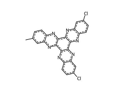 Cc1ccc2nc3c(nc2c1)c1nc2ccc(Cl)cc2nc1c1nc2ccc(Cl)cc2nc31